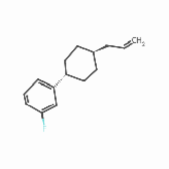 C=CC[C@H]1CC[C@H](c2cccc(F)c2)CC1